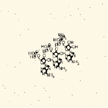 Nc1ncnc2c1ncn2[C@@H]1O[C@H](COP(=O)(O)O)[C@@H](O)[C@H]1O.Nc1ncnc2c1ncn2[C@@H]1O[C@H](COP(=O)(O)O)[C@@H](O)[C@H]1O.Nc1ncnc2c1ncn2[C@@H]1O[C@H](COP(=O)(O)O)[C@@H](O)[C@H]1O.P.P